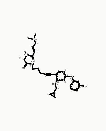 C[C@@H](C(=O)NCCCC#Cc1cnc(Nc2cccc(F)c2)nc1NCC1CC1)N(C)C(=O)/C=C/CN(C)C